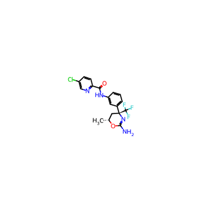 C[C@@H]1C[C@@](c2cccc(NC(=O)c3ccc(Cl)cn3)c2)(C(F)(F)F)N=C(N)O1